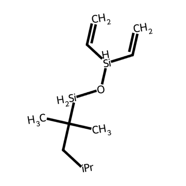 C=C[SiH](C=C)O[SiH2]C(C)(C)CC(C)C